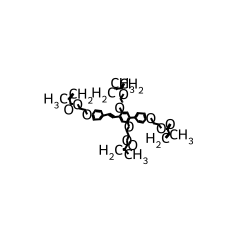 C=C(C)C(=C)OCCOc1cc(-c2ccc(OCCOC(=O)C(=C)C)cc2)c(OCCOC(=O)C(=C)C)cc1C#Cc1ccc(OCCOC(=O)C(=C)C)cc1